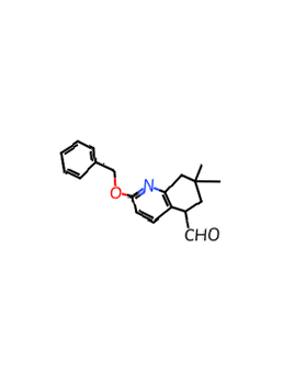 CC1(C)Cc2nc(OCc3ccccc3)ccc2C(C=O)C1